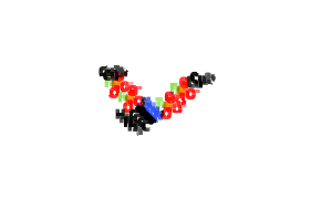 CC#N.CC#N.CC#N.CC#N.O=P([O-])([O-])F.O=P([O-])([O-])F.O=P([O-])([O-])F.O=P([O-])([O-])F.[Cu+2].[Cu+2].[Cu+2].[Cu+2]